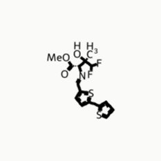 COC(=O)[C@@H](/N=C/c1ccc(-c2cccs2)s1)[C@](C)(O)C(F)F